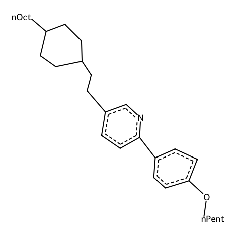 CCCCCCCCC1CCC(CCc2ccc(-c3ccc(OCCCCC)cc3)nc2)CC1